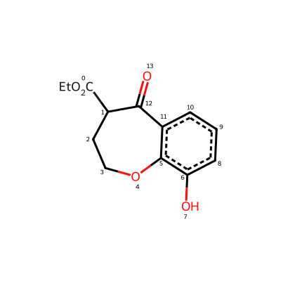 CCOC(=O)C1CCOc2c(O)cccc2C1=O